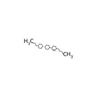 CCCCCC1C=CC(C2CCC([C@H]3CC[C@H](CCCC)CC3)CC2)CC1